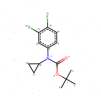 CC(C)(C)OC(=O)N(c1ccc(F)c(F)c1)C1CC1